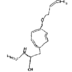 C=CCOc1ccc(CC(C#N)NC(=O)O)cc1